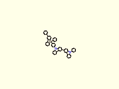 c1ccc(-c2ccc3c(c2)-c2ccccc2[Si]3(c2ccccc2)c2ccc(-n3c4ccccc4c4cc(-c5ccc6c(c5)c5ccccc5n6-c5ccccc5)ccc43)cc2)cc1